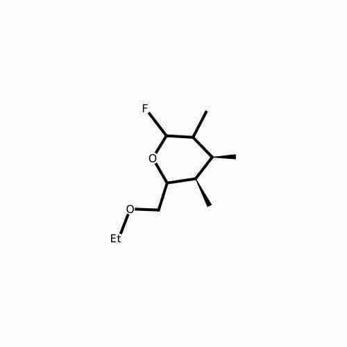 CCOCC1OC(F)C(C)[C@@H](C)[C@H]1C